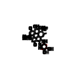 COc1c(O)c2c(=O)cc(OC)c3c4c(OC)cc(=O)c5c(NC6CCC(O)CC6)c(NC6CCC(O)CC6)c6c(c(c1C(C(C)=O)C(C)=C6)c23)c54